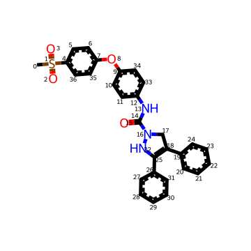 CS(=O)(=O)c1ccc(Oc2ccc(NC(=O)N3CC(c4ccccc4)=C(c4ccccc4)N3)cc2)cc1